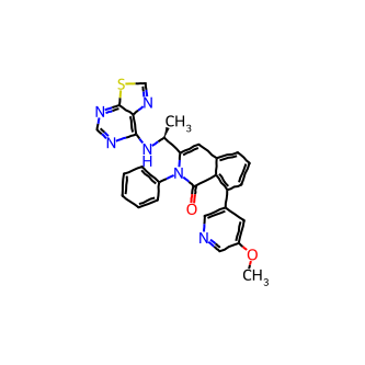 COc1cncc(-c2cccc3cc([C@H](C)Nc4ncnc5scnc45)n(-c4ccccc4)c(=O)c23)c1